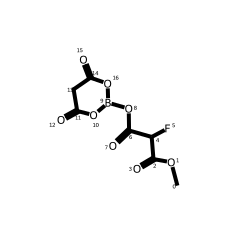 COC(=O)C(F)C(=O)OB1OC(=O)CC(=O)O1